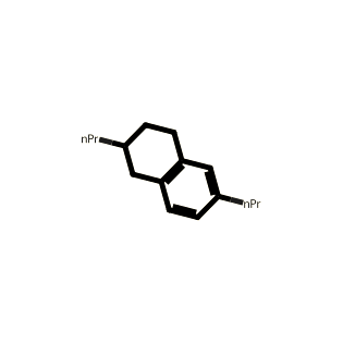 CCCc1ccc2c(c1)CCC(CCC)C2